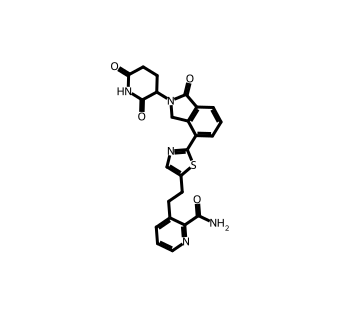 NC(=O)c1ncccc1CCc1cnc(-c2cccc3c2CN(C2CCC(=O)NC2=O)C3=O)s1